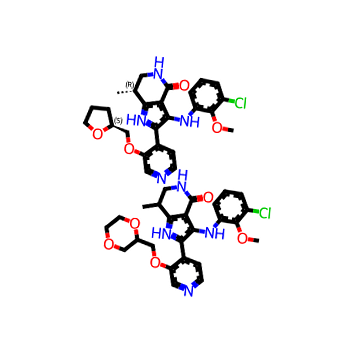 COc1c(Cl)cccc1Nc1c(-c2ccncc2OCC2COCCO2)[nH]c2c1C(=O)NCC2C.COc1c(Cl)cccc1Nc1c(-c2ccncc2OC[C@@H]2CCCO2)[nH]c2c1C(=O)NC[C@H]2C